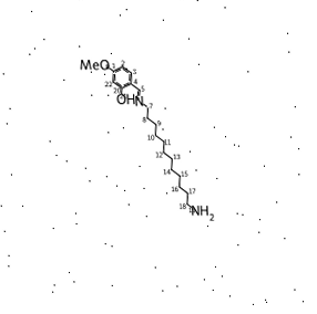 COc1ccc(/C=N/CCCCCCCCCCCCN)c(O)c1